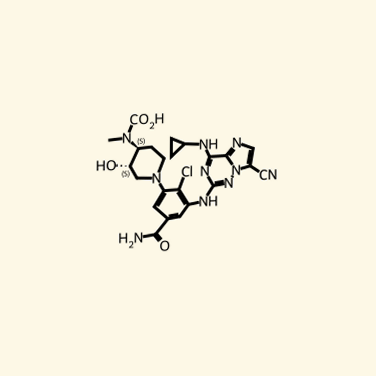 CN(C(=O)O)[C@H]1CCN(c2cc(C(N)=O)cc(Nc3nc(NC4CC4)c4ncc(C#N)n4n3)c2Cl)C[C@@H]1O